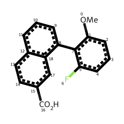 COc1cccc(F)c1-c1cccc2ccc(C(=O)O)cc12